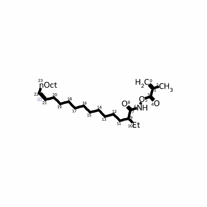 C=C(C)C(=O)ONC(=O)C(CC)CCCCCCCCCC/C=C\CCCCCCCC